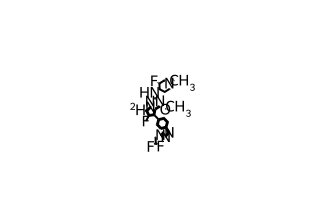 [2H]c1c(F)c(-c2ccc3nnn(CC(F)F)c3c2)c2c(OC)nc(N[C@H]3CCN(C)C[C@H]3F)nn12